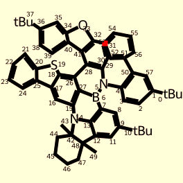 CC(C)(C)c1ccc(N2B3c4cc(C(C)(C)C)cc5c4N(c4cc6c(sc7ccccc76)c(c43)-c3c2ccc2oc4cc(C(C)(C)C)ccc4c32)C2(C)CCCCC52C)c(-c2ccccc2)c1